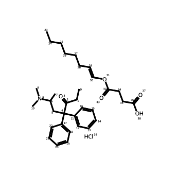 CCC(=O)C(CC(C)N(C)C)(c1ccccc1)c1ccccc1.CCCCCC/C=C/OC(=O)CCC(=O)O.Cl